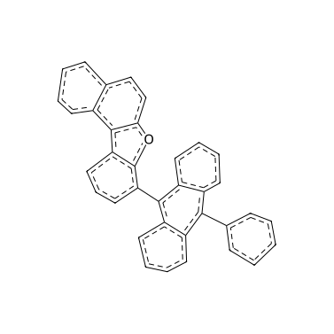 c1ccc(-c2c3ccccc3c(-c3cccc4c3oc3ccc5ccccc5c34)c3ccccc23)cc1